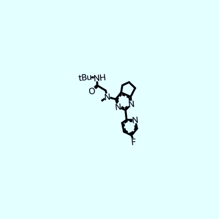 CN(CC(=O)NC(C)(C)C)c1nc(-c2ccc(F)cn2)nc2c1CCC2